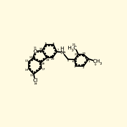 Cc1ccc(CNc2ccc3oc4ccc(Cl)cc4c3c2)c(C)c1